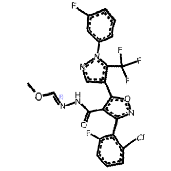 CO/C=N/NC(=O)c1c(-c2c(F)cccc2Cl)noc1-c1cnn(-c2cccc(F)c2)c1C(F)(F)F